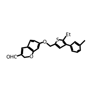 CCc1sc(COc2ccc3c(c2)OCC(C=O)=C3)cc1-c1cccc(C)c1